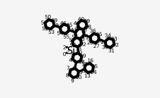 C[Si]1(C)c2cc(-c3ccccc3-c3ccccc3)ccc2-c2cc3c(-c4ccc(-c5ccccc5)cc4)c4ccccc4c(-c4ccc(-c5ccccc5)cc4)c3cc21